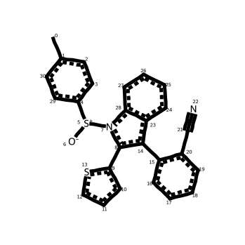 Cc1ccc([S+]([O-])n2c(-c3cccs3)c(-c3ccccc3C#N)c3ccccc32)cc1